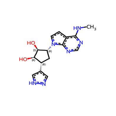 CNc1ncnc2c1ccn2[C@@H]1C[C@H](c2cn[nH]c2)[C@@H](O)[C@H]1O